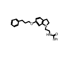 CCCC(=O)NCCN1CCc2ccc(OCCCc3ccccc3)cc21